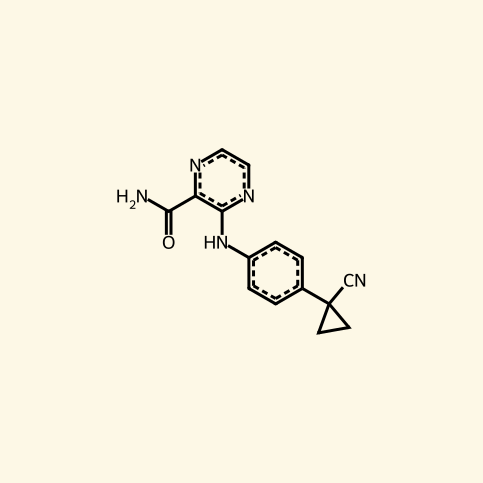 N#CC1(c2ccc(Nc3nccnc3C(N)=O)cc2)CC1